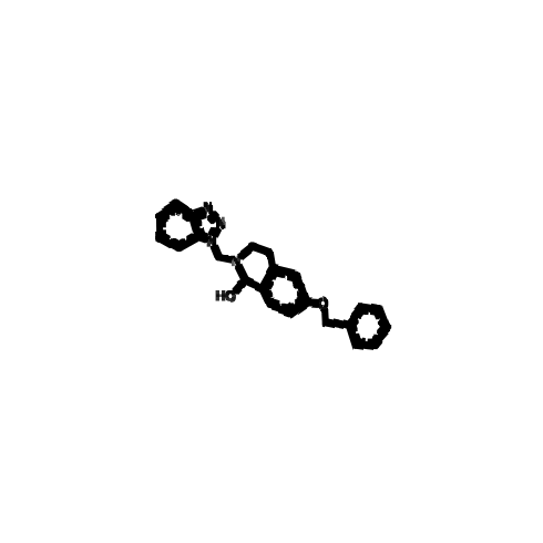 OC1c2ccc(OCc3ccccc3)cc2CCN1Cn1nnc2ccccc21